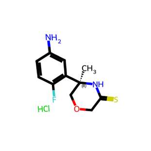 C[C@@]1(c2cc(N)ccc2F)COCC(=S)N1.Cl